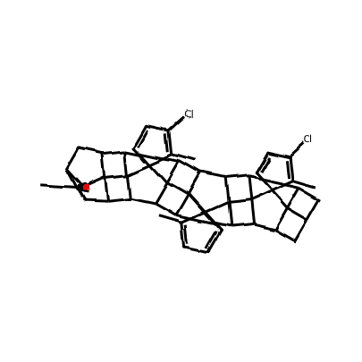 CC1=CC=CC12C1CC3C4C5C6C7C8C9CC%10CC%11C%12C%13C%14C%15C%16C(C1)C32C4%16C1(C=CC(Cl)=C1C)C5%15C6%14C1(C=CC=C1C)C7%13C8%12C1(C=CC(Cl)=C1C)C%109%11